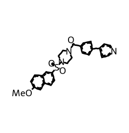 COc1ccc2cc(S(=O)(=O)N3CCN(C(=O)c4ccc(-c5ccncc5)cc4)CC3)ccc2c1